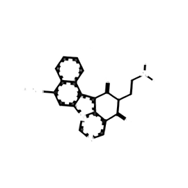 CC(=O)Nc1cc2c(c3c4c(cncn42)C(=O)C(CCN(C)C)C3=O)c2ccccc12.Cl